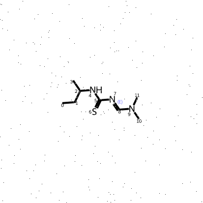 CCC(C)NC(=S)/N=C/N(C)C